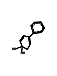 O=NC1(O)C=CC(c2ccccc2)=CC1